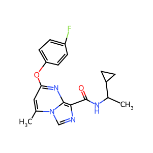 Cc1cc(Oc2ccc(F)cc2)nc2c(C(=O)NC(C)C3CC3)ncn12